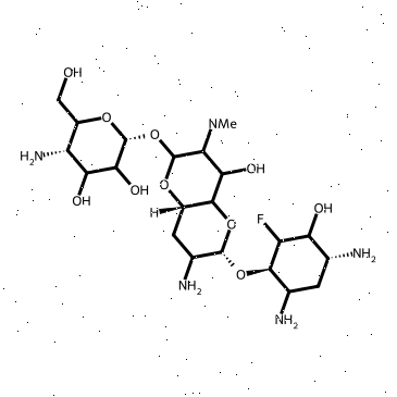 CNC1C(O[C@H]2OC(CO)[C@@H](N)C(O)C2O)O[C@H]2CC(N)[C@@H](O[C@@H]3C(N)C[C@@H](N)C(O)C3F)OC2C1O